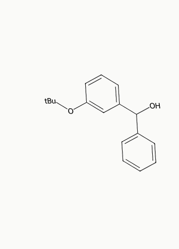 CC(C)(C)Oc1cccc(C(O)c2ccccc2)c1